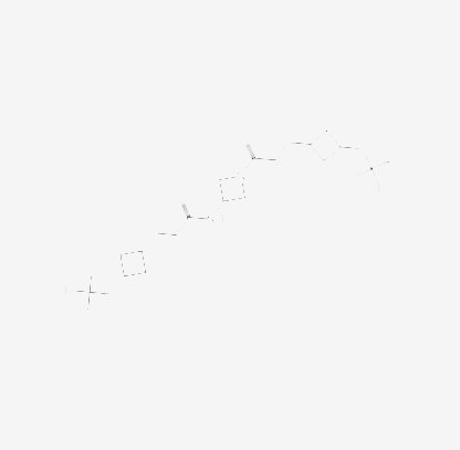 O=C(CO[C@H]1C[C@@H](OC(F)(F)F)C1)NC1CN(C(=O)COC2CC(OC(F)(F)F)C2)C1